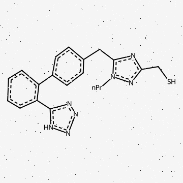 CCCn1nc(CS)nc1Cc1ccc(-c2ccccc2-c2nnn[nH]2)cc1